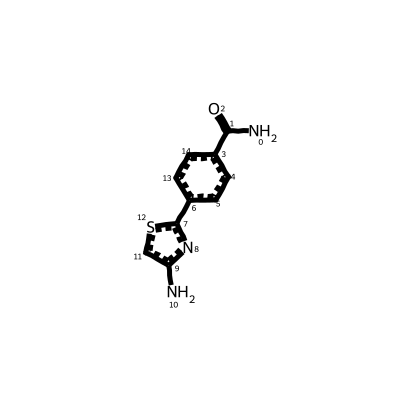 NC(=O)c1ccc(-c2nc(N)cs2)cc1